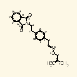 C=C(C)CON=CCc1ccc(CCN2C(=O)c3ccccc3C2=O)cc1